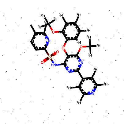 [2H]c1nc(S(=O)(=O)Nc2nc(-c3c([2H])c([2H])nc([2H])c3[2H])nc(OC([2H])([2H])[2H])c2Oc2c([2H])c([2H])c([2H])c([2H])c2OC([2H])([2H])[2H])ccc1C